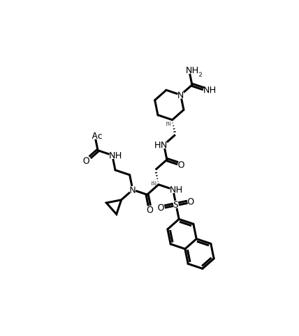 CC(=O)C(=O)NCCN(C(=O)[C@H](CC(=O)NC[C@@H]1CCCN(C(=N)N)C1)NS(=O)(=O)c1ccc2ccccc2c1)C1CC1